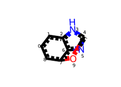 c1cc2[nH]c3nc2c(c1)o3